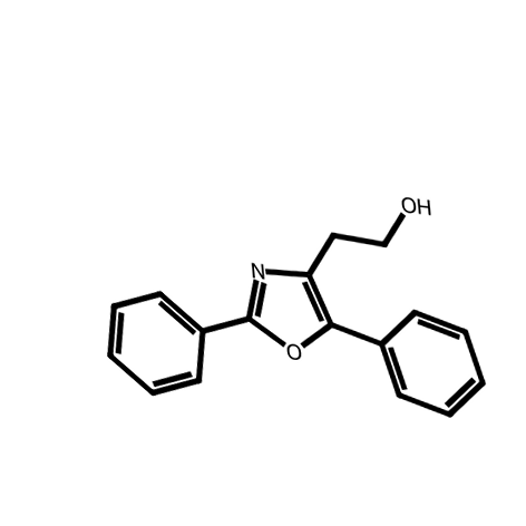 OCCc1nc(-c2ccccc2)oc1-c1ccccc1